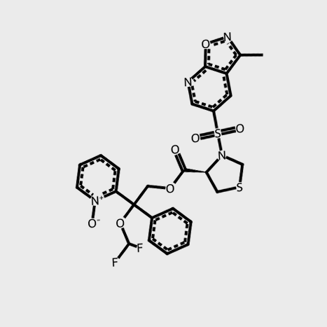 Cc1noc2ncc(S(=O)(=O)N3CSC[C@H]3C(=O)OCC(OC(F)F)(c3ccccc3)c3cccc[n+]3[O-])cc12